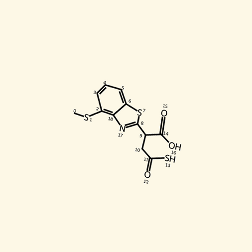 CSc1cccc2sc(C(CC(=O)S)C(=O)O)nc12